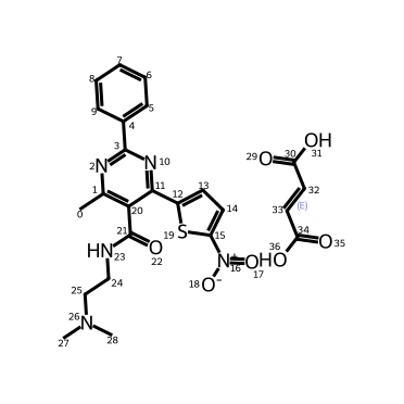 Cc1nc(-c2ccccc2)nc(-c2ccc([N+](=O)[O-])s2)c1C(=O)NCCN(C)C.O=C(O)/C=C/C(=O)O